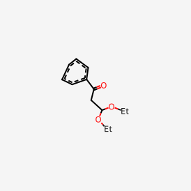 CCOC(CC(=O)c1ccccc1)OCC